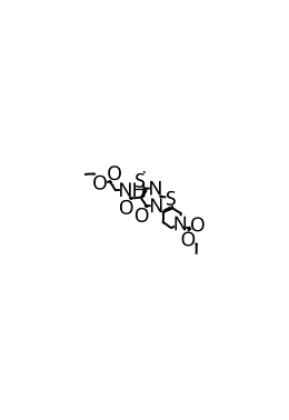 CCOC(=O)CNC(=O)c1c(SC)nc2sc3c(n2c1=O)CCN(C(=O)OCC)C3